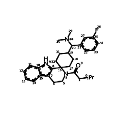 CC(C)CC(=O)N1CCc2c([nH]c3ccccc23)C12CCC(C(c1cccc(F)c1)N(C)C)CC2